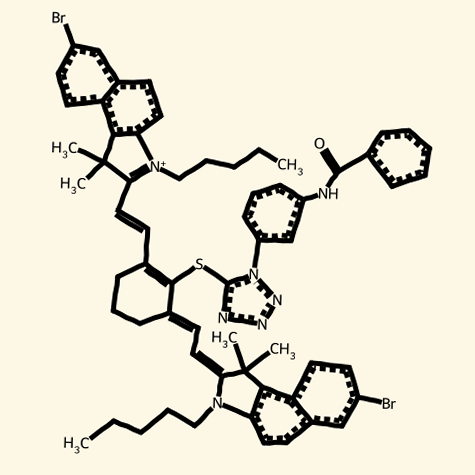 CCCCCN1/C(=C/C=C2\CCCC(/C=C/C3=[N+](CCCCC)c4ccc5cc(Br)ccc5c4C3(C)C)=C2Sc2nnnn2-c2cccc(NC(=O)c3ccccc3)c2)C(C)(C)c2c1ccc1cc(Br)ccc21